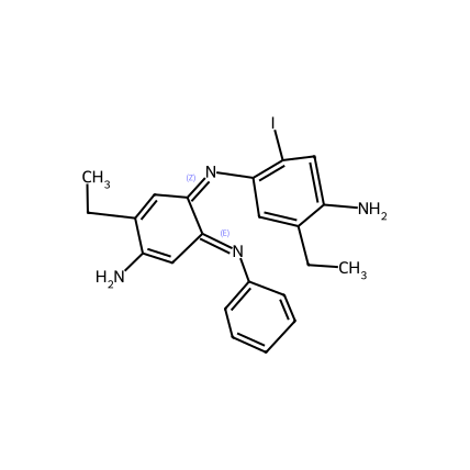 CCC1=CC(=N/c2cc(CC)c(N)cc2I)/C(=N/c2ccccc2)C=C1N